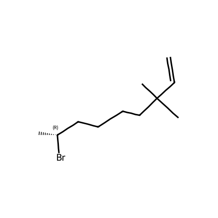 C=CC(C)(C)CCCC[C@@H](C)Br